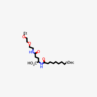 CCCCCCCCCCCCCCCCCC(=O)NC(CCC(=O)NCCOCCOCC)C(=O)O